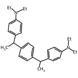 CCN(CC)c1ccc(C(C)c2ccc(C(C)c3ccc(N(CC)CC)cc3)cc2)cc1